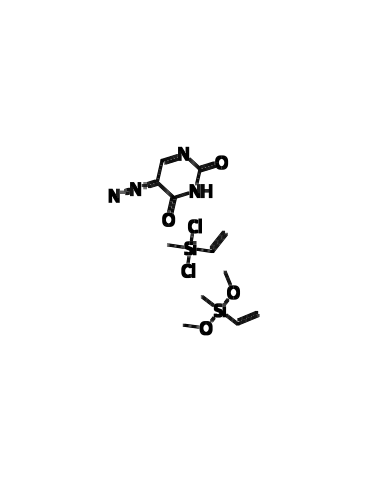 C=C[Si](C)(Cl)Cl.C=C[Si](C)(OC)OC.[N-]=[N+]=C1C=NC(=O)NC1=O